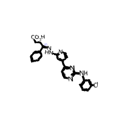 O=C(O)CC/C(=N/Nc1cc(-c2ccnc(Nc3cccc(Cl)c3)n2)ccn1)c1ccccc1